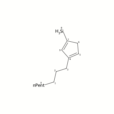 CCCCCCCCC1=CCC([SiH3])=C1